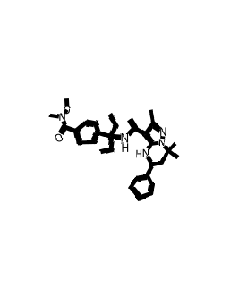 C=C(NC(CC)(CC)c1ccc(C(=O)N(C)OC)cc1)c1c(C)nn2c1NC(c1ccccc1)CC2(C)C